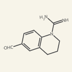 N=C(N)N1CCCc2cc([C]=O)ccc21